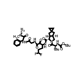 CN(C)C(=O)[C@@H](NC(=O)CNC(=O)C(=O)C(CCC(F)F)NC(=O)[C@@H]1[C@H]2CC3(CC3)C[C@H]2CN1C(=O)[C@@H](NC(=O)OC(C)(C)C)C(C)(C)C)c1ccccc1